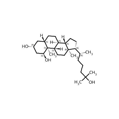 C[C@H](CCCC(C)(C)O)[C@H]1CC[C@H]2[C@@H]3CC[C@H]4C[C@@H](O)C[C@H](O)[C@]4(C)[C@H]3CC[C@]12C